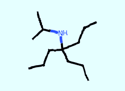 CCCC(CCC)(CCC)NC(C)C